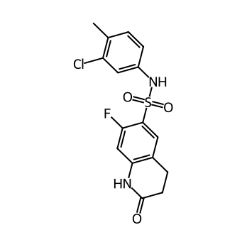 Cc1ccc(NS(=O)(=O)c2cc3c(cc2F)NC(=O)CC3)cc1Cl